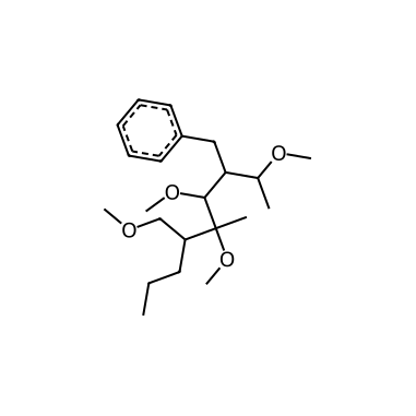 CCCC(COC)C(C)(OC)C(OC)C(Cc1ccccc1)C(C)OC